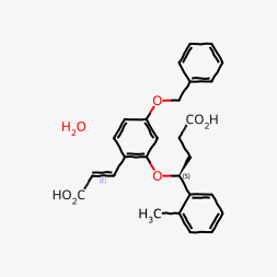 Cc1ccccc1[C@H](CCC(=O)O)Oc1cc(OCc2ccccc2)ccc1/C=C/C(=O)O.O